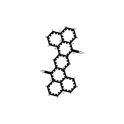 O=c1c2cc3c(cc2c2cccc4cccc1c42)c(=O)c1cccc2cccc3c21